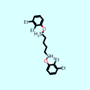 CCc1cccc(O[SiH2]CCCC[SiH2]Oc2cccc(CC)c2CC)c1CC